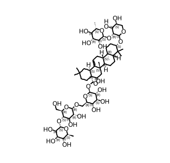 C[C@@H]1O[C@@H](O[C@H]2[C@H](O[C@H]3CC[C@]4(C)[C@H]5CC=C6[C@@H]7CC(C)(C)CC[C@]7(C(=O)O[C@@H]7O[C@H](CO[C@@H]8O[C@H](CO)[C@@H](O[C@@H]9O[C@@H](C)[C@H](O)[C@@H](O)[C@H]9O)[C@H](O)[C@H]8O)[C@@H](O)[C@H](O)[C@H]7O)[C@H](O)C[C@@]6(C)[C@@H]5CC[C@H]4C3(C)C)OC[C@H](O)[C@@H]2O)[C@H](O)[C@H](O)[C@H]1O